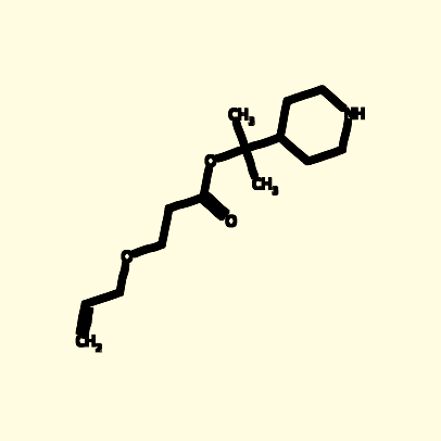 C=CCOCCC(=O)OC(C)(C)C1CCNCC1